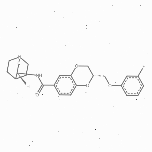 O=C(N[C@H]1CN2CCC1CC2)c1ccc2c(c1)OC[C@H](COc1cccc(F)c1)O2